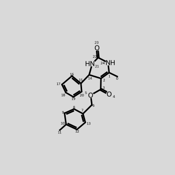 CC1=C(C(=O)OCc2ccc(C)cc2)C(c2ccccc2)NC(=O)N1